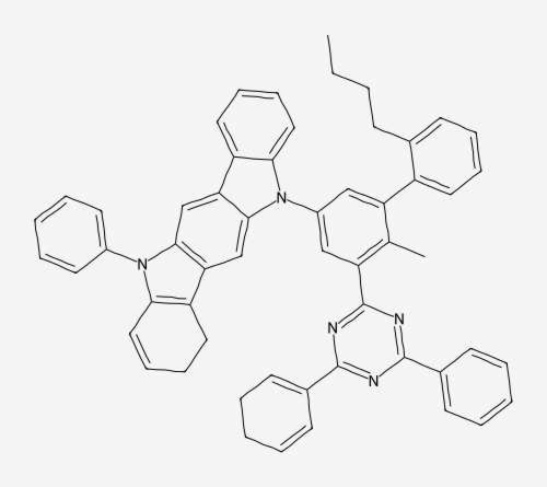 CCCCc1ccccc1-c1cc(-n2c3ccccc3c3cc4c(cc32)c2c(n4-c3ccccc3)C=CCC2)cc(-c2nc(C3=CCCC=C3)nc(-c3ccccc3)n2)c1C